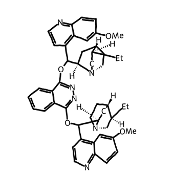 CC[C@H]1C[N@]2CC[C@H]1C[C@@H]2C(Oc1nnc(OC(c2ccnc3ccc(OC)cc23)[C@H]2C[C@@H]3CC[N@@]2C[C@@H]3CC)c2ccccc12)c1ccnc2ccc(OC)cc12